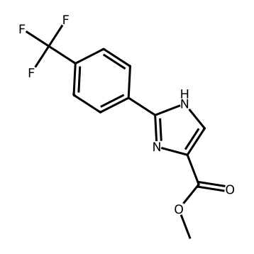 COC(=O)c1c[nH]c(-c2ccc(C(F)(F)F)cc2)n1